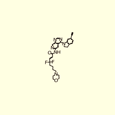 C#Cc1ccc2c(c1)N(c1ncnc3cnc(NC(=O)C=CC(F)(F)CCCCN4CCOCC4)cc13)CC2